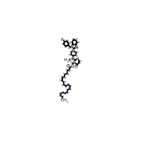 CC/C=C\C/C=C\C/C=C\C/C=C\C/C=C\CCCCCC(=O)OCn1c(N(C)C2CCN(c3nc4ccccc4n3Cc3ccc(F)cc3)CC2)nccc1=O